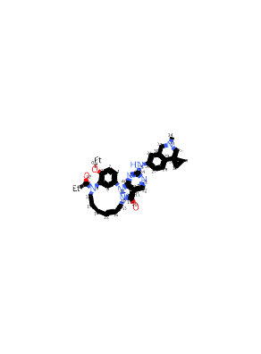 CCOc1ccc2cc1N(C(=O)CC)CCC/C=C\Cn1c(=O)c3cnc(Nc4ccc5c(c4)CN(C)CC54CC4)nc3n1-2